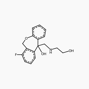 OCCNCC1(O)c2ccccc2OCc2c(F)cccc21